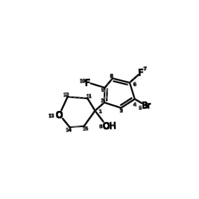 OC1(c2cc(Br)c(F)cc2F)CCOCC1